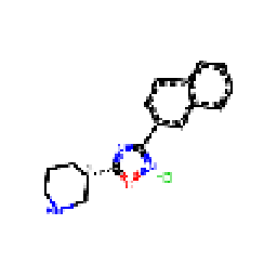 Cl.c1ccc2cc(-c3noc([C@H]4CCCNC4)n3)ccc2c1